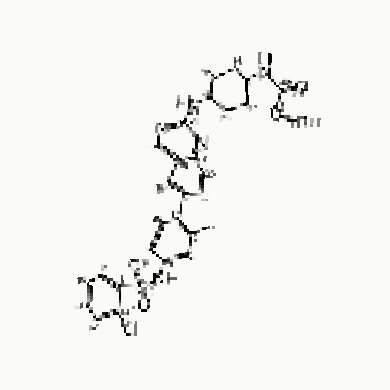 Cc1cc(NS(=O)(=O)c2ccccc2Cl)ccc1-c1ccc2nc(NC3CCC(NC(=O)OC(C)(C)C)CC3)ncc2c1